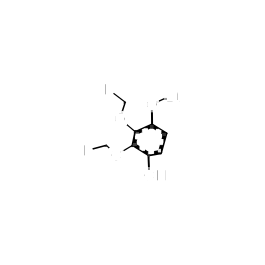 CCOc1ccc(O)c(OCF)c1OCF